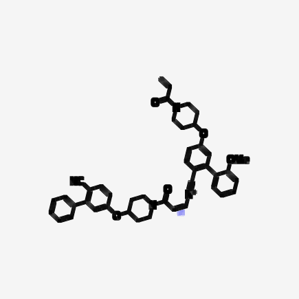 C=CC(=O)N1CCC(Oc2ccc(C#[N+]/C=C\C(=O)N3CCC(Oc4ccc(C#N)c(-c5ccccc5)c4)CC3)c(-c3ccccc3OC)c2)CC1